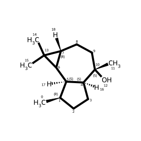 C[C@@H]1CC[C@H]2[C@@H]1C1[C@@H](CC[C@]2(C)O)C1(C)C